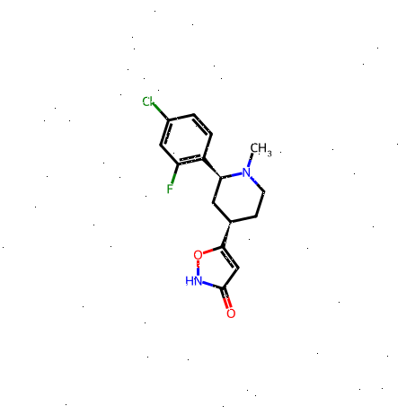 CN1CC[C@@H](c2cc(=O)[nH]o2)C[C@H]1c1ccc(Cl)cc1F